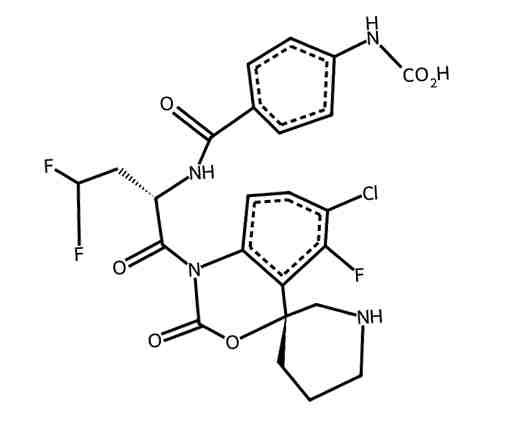 O=C(O)Nc1ccc(C(=O)N[C@@H](CC(F)F)C(=O)N2C(=O)O[C@]3(CCCNC3)c3c2ccc(Cl)c3F)cc1